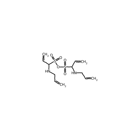 C=CCNC(C=C)S(=O)(=O)OS(=O)(=O)C(C=C)NCC=C